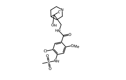 COc1cc(NS(C)(=O)=O)c(Cl)cc1C(=O)NCC1(O)CN2CCC1CC2